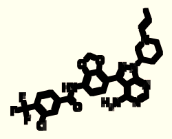 CC=CN1CCC[C@@H](n2nc(-c3ccc(NC(=O)c4ccc(C(F)(F)F)c(Cl)c4)c4c3OCO4)c3c(N)ncnc32)C1